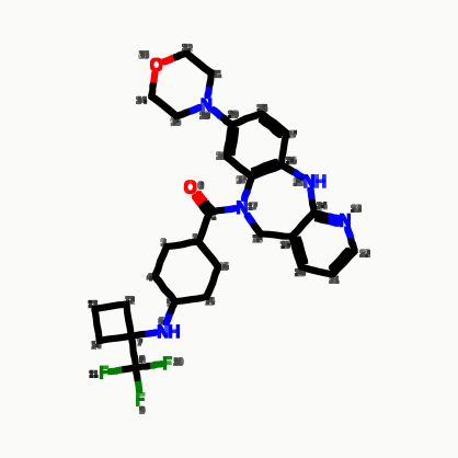 O=C(C1CCC(NC2(C(F)(F)F)CCC2)CC1)N1Cc2cccnc2Nc2ccc(N3CCOCC3)cc21